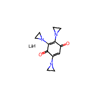 O=C1C=C(N2CC2)C(=O)C(N2CC2)=C1N1CC1.[LiH]